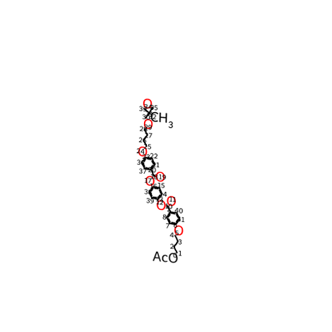 CC(=O)OCCCCOc1ccc(C(=O)Oc2ccc(OC(=O)c3ccc(OCCCCOCC4(C)COC4)cc3)cc2)cc1